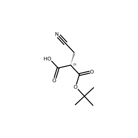 CC(C)(C)OC(=O)[C@@H](CC#N)C(=O)O